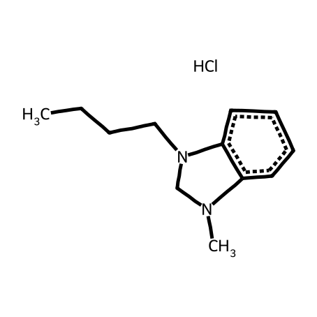 CCCCN1CN(C)c2ccccc21.Cl